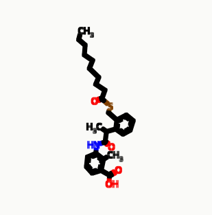 CCCCCCCCCC(=O)SCc1ccccc1C(C)C(=O)Nc1cccc(C(=O)O)c1C